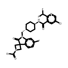 CCC(=O)N1CC2(C1)C(=O)N(C[C@H]1CC[C@H](NC(=O)c3cc(Cl)cnc3C(F)F)CC1)c1cc(F)ccc12